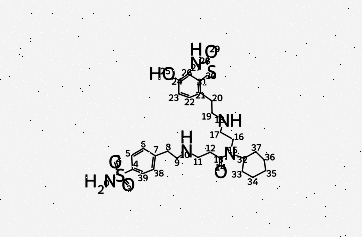 NS(=O)(=O)c1ccc(CCNCCC(=O)N(CCNCCc2ccc(O)c3[nH]c(=O)sc23)C2CCCCC2)cc1